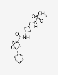 CS(=O)(=O)NC[C@H]1C[C@H](NC(=O)c2cc(-c3ccccc3)on2)C1